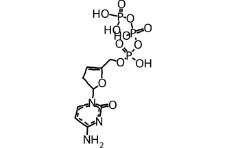 Nc1ccn(C2CC=C(COP(=O)(O)OP(=O)(O)OP(=O)(O)O)O2)c(=O)n1